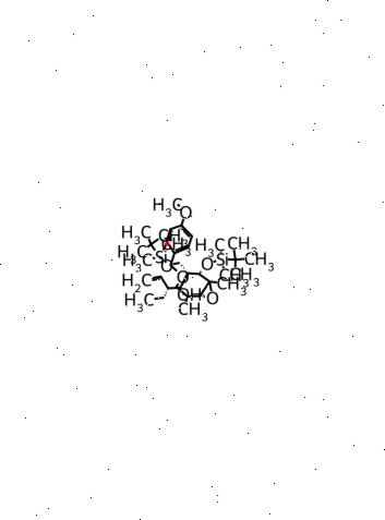 C=C[C@@H](CC)[C@@H](O)[C@H](CO[Si](C)(C)C(C)(C)C)[C@H](O[Si](C)(C)C(C)(C)C)C1(C)O[C@@H]1[C@@H](C)COCc1ccc(OC)cc1